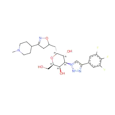 CN1CCC(C2=NOC(C[C@H]3O[C@H](CO)[C@H](O)[C@H](n4cc(-c5cc(F)c(F)c(F)c5)nn4)[C@H]3O)C2)CC1